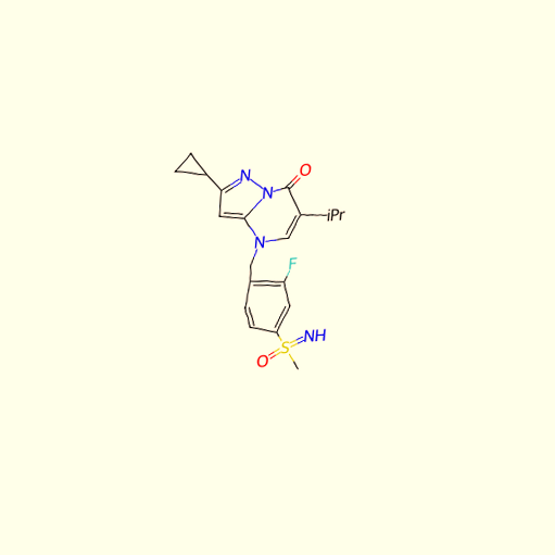 CC(C)c1cn(Cc2ccc(S(C)(=N)=O)cc2F)c2cc(C3CC3)nn2c1=O